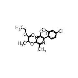 CCOC(=O)C(C)Oc1nc(C)c(-c2ccc(Cl)cc2Cl)nc1C